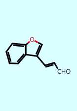 O=CC=Cc1coc2ccccc12